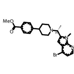 COC(=O)c1ccc(C2CCN([C@H](C)c3cc4c(Br)ccnc4n3C)CC2)cc1